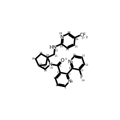 O=C(c1cccnc1-c1ncccc1F)N1CC2CCC1(CNc1ccc(C(F)(F)F)cn1)C2